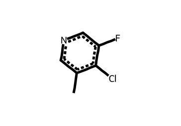 Cc1cncc(F)c1Cl